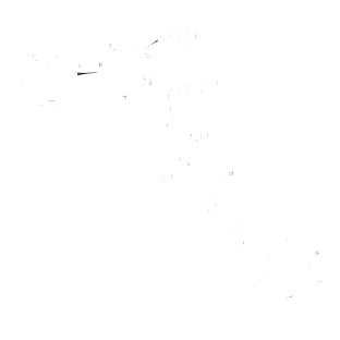 Cc1ccccc1[C@H]1C[C@@H](C(=O)O)N(C(=O)CNC(=O)CCCOc2ccccc2)C1